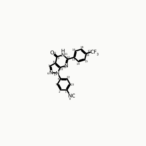 [C-]#[N+]c1ccc(-n2ncc3c(=O)[nH]c(-c4ccc(C(F)(F)F)cc4)nc32)cc1